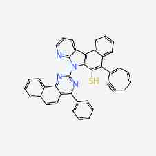 Sc1c(C2=CC=CCC#C2)c2ccccc2c2c3cccnc3n(-c3nc(-c4ccccc4)c4ccc5ccccc5c4n3)c12